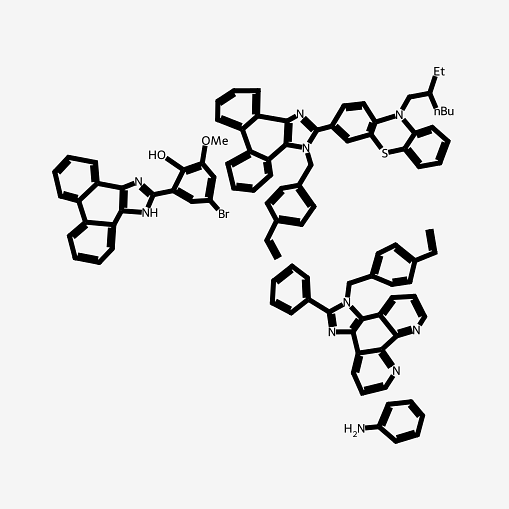 C=Cc1ccc(Cn2c(-c3ccc4c(c3)Sc3ccccc3N4CC(CC)CCCC)nc3c4ccccc4c4ccccc4c32)cc1.C=Cc1ccc(Cn2c(-c3ccccc3)nc3c4cccnc4c4ncccc4c32)cc1.COc1cc(Br)cc(-c2nc3c4ccccc4c4ccccc4c3[nH]2)c1O.Nc1ccccc1